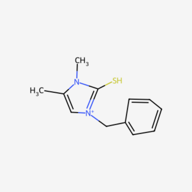 Cc1c[n+](Cc2ccccc2)c(S)n1C